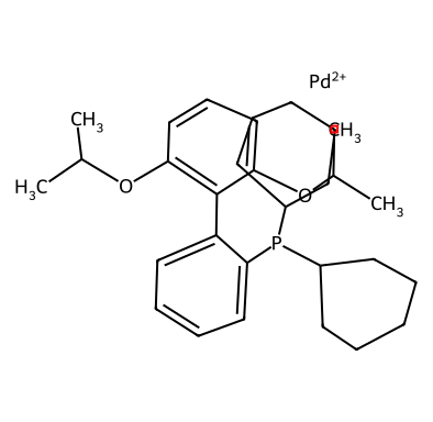 CC(C)Oc1cccc(OC(C)C)c1-c1ccccc1P(C1CCCCC1)C1CCCCC1.[Pd+2]